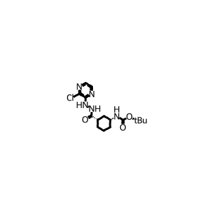 CC(C)(C)OC(=O)N[C@@H]1CCC[C@H](C(=O)NNc2nccnc2Cl)C1